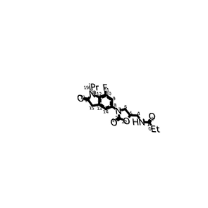 CCC(=O)NCC1CN(c2cc(F)c3c(c2)CC(=O)N3C(C)C)C(=O)O1